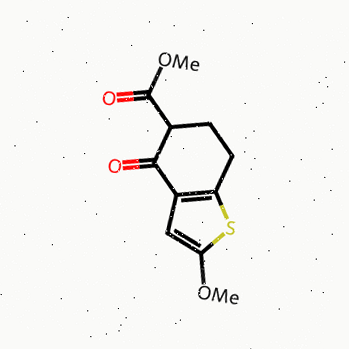 COC(=O)C1CCc2sc(OC)cc2C1=O